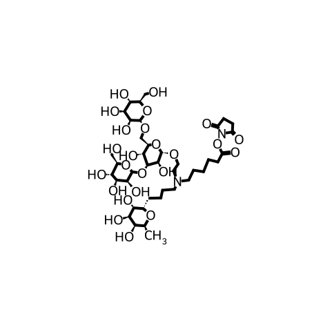 C[C@@H]1O[C@@H](CCCCN(CCCCCC(=O)ON2C(=O)CCC2=O)CCO[C@H]2O[C@H](CO[C@H]3O[C@H](CO)[C@@H](O)[C@H](O)[C@@H]3O)[C@@H](O)[C@H](OC3O[C@H](CO)[C@@H](O)[C@H](O)[C@@H]3O)[C@@H]2O)[C@@H](O)[C@H](O)[C@@H]1O